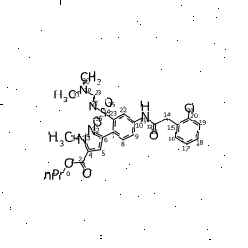 CCCOC(=O)c1cc(-c2ccc(NC(=O)Cc3ccccc3Cl)cc2S(=O)(=O)/N=C/N(C)C)nn1C